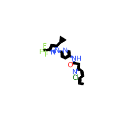 C/C=C\C=C/C(CC(=O)Nc1ccc(-n2nc(C(F)(F)F)cc2C2CC2)nc1)=NCl